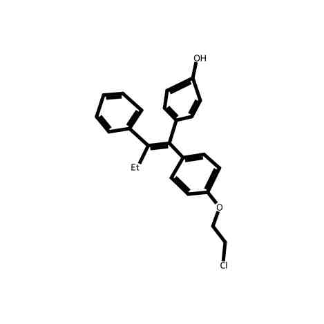 CCC(=C(c1ccc(O)cc1)c1ccc(OCCCl)cc1)c1ccccc1